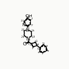 O=C(C1CC(c2ccccc2)C1)N1CCN(c2ccc(O)cn2)CC1